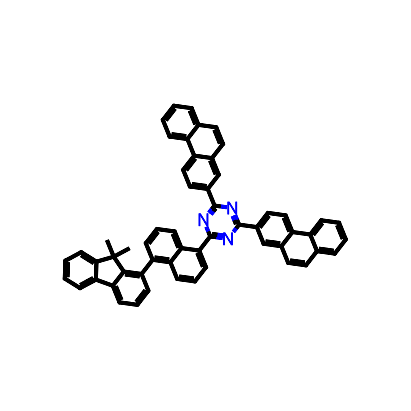 CC1(C)c2ccccc2-c2cccc(-c3cccc4c(-c5nc(-c6ccc7c(ccc8ccccc87)c6)nc(-c6ccc7c(ccc8ccccc87)c6)n5)cccc34)c21